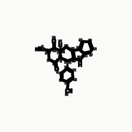 CCCCN1CC(=O)N2[C@@H](c3ccc(C#N)cc3)c3[nH]c4ccccc4c3C[C@@H]2C1=O